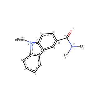 CCCCCn1c2ccccc2c2cc(C(=O)N(CC)CC)ccc21